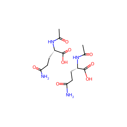 CC(=O)N[C@@H](CCC(N)=O)C(=O)O.CC(=O)N[C@@H](CCC(N)=O)C(=O)O